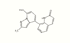 COc1ccc(-c2cccc3ccc(=O)[nH]c23)c2cc(C(F)(F)F)nn12